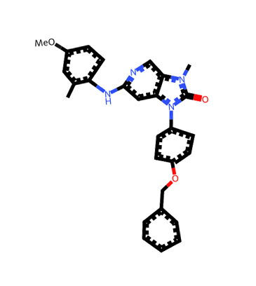 COc1ccc(Nc2cc3c(cn2)n(C)c(=O)n3-c2ccc(OCc3ccccc3)cc2)c(C)c1